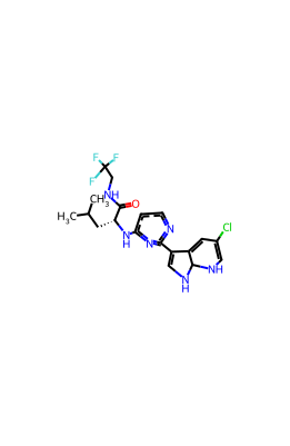 CC(C)C[C@@H](Nc1ccnc(C2=CNC3NC=C(Cl)C=C23)n1)C(=O)NCC(F)(F)F